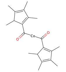 CC1=C(C)C(C)C([C](=O)[Co][C](=O)C2=C(C)C(C)=C(C)C2C)=C1C